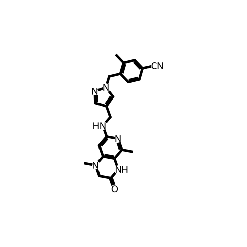 Cc1cc(C#N)ccc1Cn1cc(CNc2cc3c(c(C)n2)NC(=O)CN3C)cn1